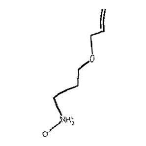 C=CCOCCC[NH2+][O-]